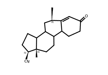 C[C@@H]1CC2C(CC[C@@]3(C)C2CC[C@@H]3C#N)C2CCC(=O)C=C21